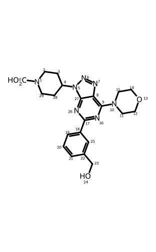 O=C(O)N1CCC(n2nnc3c(N4CCOCC4)nc(-c4cccc(CO)c4)nc32)CC1